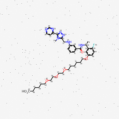 C[C@H](NC(=O)c1cccc(NCc2nnc(-c3ccncn3)n2C)c1)c1cc(OCCCCCCOCCOCCOCCCCCC(=O)O)ccc1F